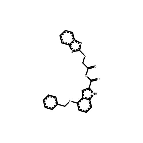 O=C(CSc1nc2ccccc2s1)OC(=O)c1cc2c(OCc3ccccc3)cccc2[nH]1